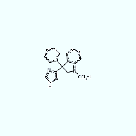 CCOC(=O)NCC(c1ccccc1)(c1ccccc1)c1c[nH]cn1